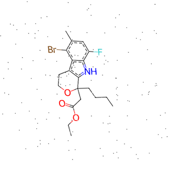 CCCCC1(CC(=O)OCC)OCCc2c1[nH]c1c(F)cc(C)c(Br)c21